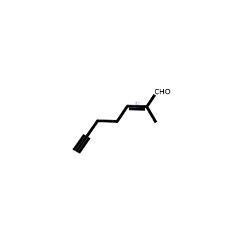 C#CCC/C=C(\C)C=O